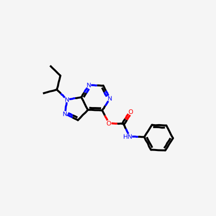 CCC(C)n1ncc2c(OC(=O)Nc3ccccc3)ncnc21